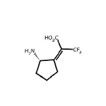 N[C@H]1CCC/C1=C(/C(=O)O)C(F)(F)F